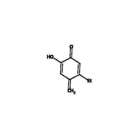 C=C1C=C(O)C(=O)C=C1CC